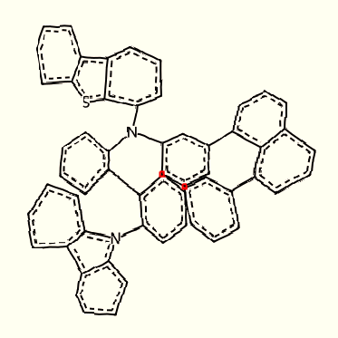 c1ccc(-c2cccc3cccc(-c4cccc(N(c5ccccc5-c5ccccc5-n5c6ccccc6c6ccccc65)c5cccc6c5sc5ccccc56)c4)c23)cc1